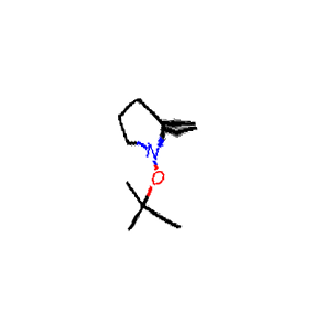 C=C1CCCN1OC(C)(C)C